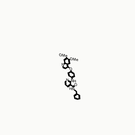 COc1cc2nccc(Oc3ccc(Nc4ncccc4C(=O)NCc4ccccc4)cc3)c2cc1OC